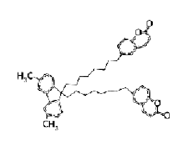 Cc1ccc2c(c1)-c1cc(C)ccc1C2(CCCCCCCCc1ccc2oc(=O)ccc2c1)CCCCCCCCc1ccc2oc(=O)ccc2c1